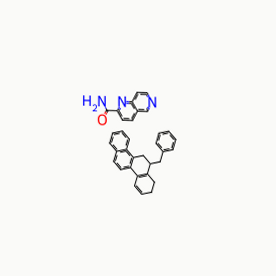 C1=CC2=C(CC1)C(Cc1ccccc1)Cc1c2ccc2ccccc12.NC(=O)c1ccc2cnccc2n1